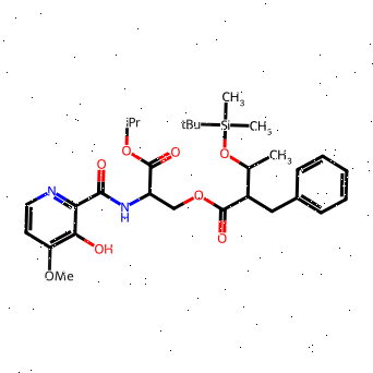 COc1ccnc(C(=O)NC(COC(=O)C(Cc2ccccc2)C(C)O[Si](C)(C)C(C)(C)C)C(=O)OC(C)C)c1O